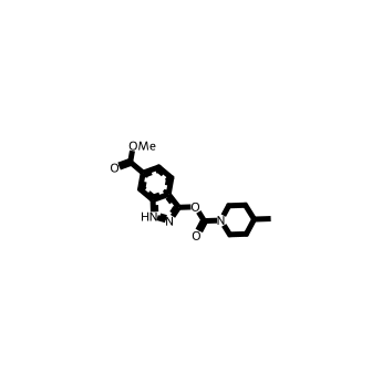 COC(=O)c1ccc2c(OC(=O)N3CCC(C)CC3)n[nH]c2c1